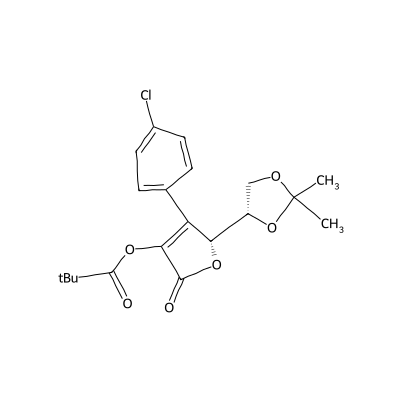 CC1(C)OC[C@@H]([C@@H]2OC(=O)C(OC(=O)C(C)(C)C)=C2c2ccc(Cl)cc2)O1